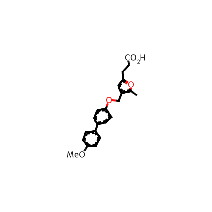 COc1ccc(-c2ccc(OCc3cc(CCC(=O)O)oc3C)cc2)cc1